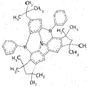 CC(C)(C)c1cc2c3c(c1)B(c1ccccc1)c1c4c(cc5c6cc7c(c(c6n-3c15)B2c1ccccc1)C(C)(C)CC7(C)C)C(C)(C)CC4(C)C